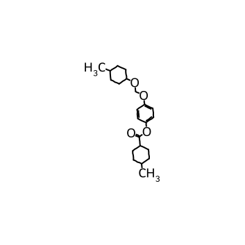 CC1CCC(OCOc2ccc(OC(=O)C3CCC(C)CC3)cc2)CC1